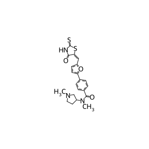 CN1CCC(N(C)C(=O)c2ccc(-c3ccc(/C=C4/SC(=S)NC4=O)o3)cc2)C1